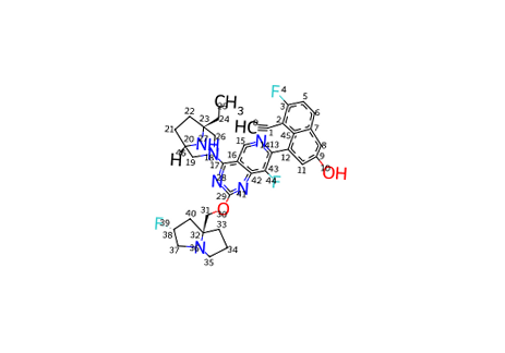 C#Cc1c(F)ccc2cc(O)cc(-c3ncc4c(N5C[C@@H]6CC[C@](CC)(C5)N6)nc(OC[C@@]56CCCN5C[C@H](F)C6)nc4c3F)c12